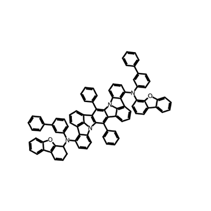 C1=Cc2c(oc3ccccc23)C(N(c2cccc(-c3ccccc3)c2)c2cccc3c2c2cccc4c5c(-c6ccccc6)c6c(c(-c7ccccc7)c5n3c24)c2cccc3c4c(N(c5cccc(-c7ccccc7)c5)c5cccc7c5oc5ccccc57)cccc4n6c32)C1